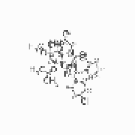 COC1(C)C=C(OC(C)C)C2(C)C3=N[C@H](c4ccc(Cl)cc4)[C@H](c4ccccc4Cl)N3C(=O)N3CC(=O)NC1=C32